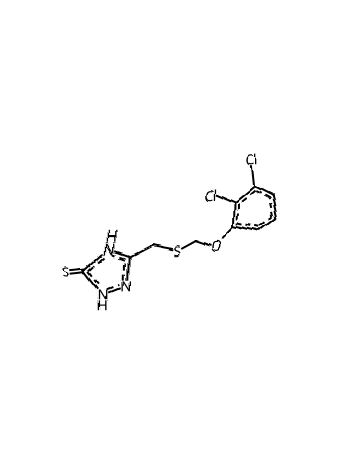 S=c1[nH]nc(CSCOc2cccc(Cl)c2Cl)[nH]1